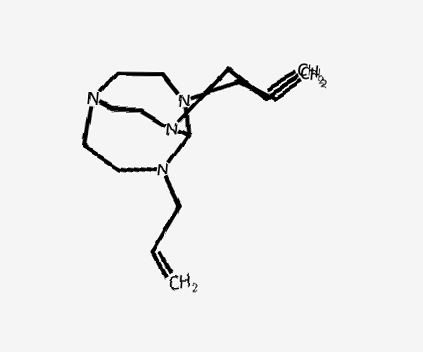 C=CCN1CCN2CCN(CC=C)C1N(CC=C)CC2